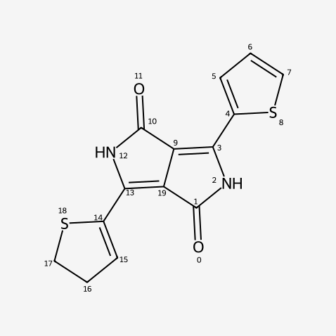 O=C1NC(c2cccs2)=C2C(=O)NC(C3=CCCS3)=C12